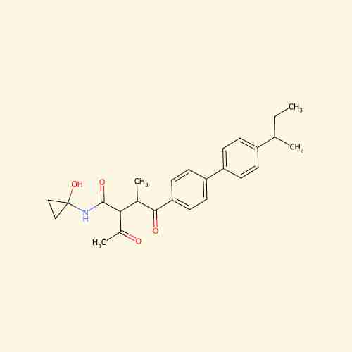 CCC(C)c1ccc(-c2ccc(C(=O)C(C)C(C(C)=O)C(=O)NC3(O)CC3)cc2)cc1